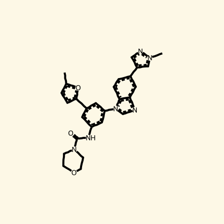 Cc1ccc(-c2cc(NC(=O)N3CCOCC3)cc(-n3cnc4cc(-c5cnn(C)c5)ccc43)c2)o1